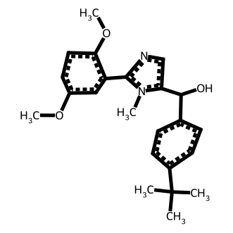 COc1ccc(OC)c(-c2ncc(C(O)c3ccc(C(C)(C)C)cc3)n2C)c1